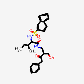 CCC(C)C(NS(=O)(=O)c1ccc2ccccc2c1)C(=O)NCC(CO)C(=O)Cc1ccccc1